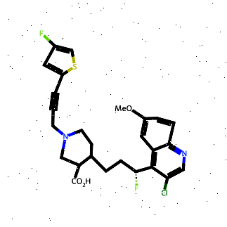 COc1ccc2ncc(Cl)c([C@H](F)CCC3CCN(CC#Cc4cc(F)cs4)CC3C(=O)O)c2c1